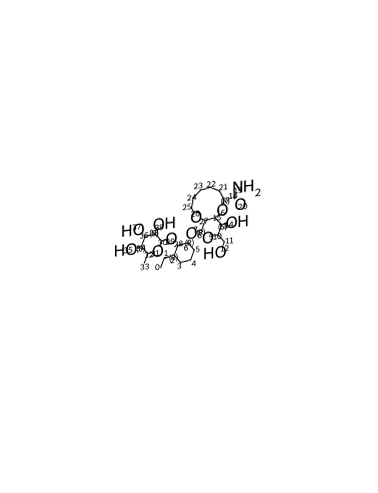 CC[C@@H]1CCC[C@@H](O[C@@H]2OC(CO)[C@H](O)C3O[C@@H](C(N)=O)CCCCCOC32)C1OC1OC(C)[C@@H](O)C(O)[C@@H]1O